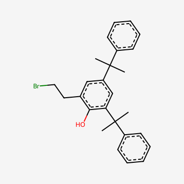 CC(C)(c1ccccc1)c1cc(CCBr)c(O)c(C(C)(C)c2ccccc2)c1